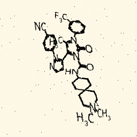 Cc1c(-c2ccnn2-c2ccc(C#N)cc2)n(C(=O)NC2CCC3(CC2)CC[N+](C)(C)CC3)c(=O)n1-c1cccc(C(F)(F)F)c1